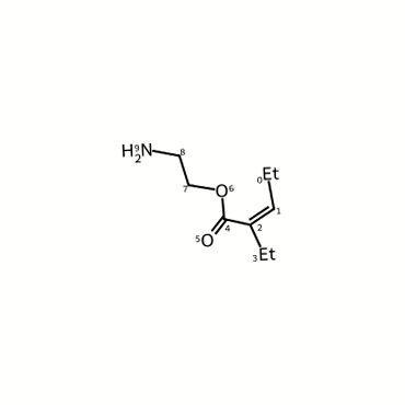 CCC=C(CC)C(=O)OCCN